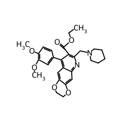 CCOC(=O)c1c(CN2CCCCC2)nc2cc3c(cc2c1-c1ccc(OC)c(OC)c1)OCCO3